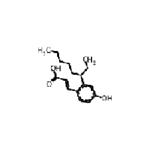 CCCCCC(CC)c1cc(O)ccc1C=CC(=O)O